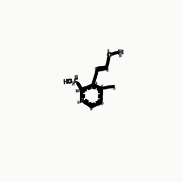 CCO/C=C/c1c(C)ccnc1C(=O)O